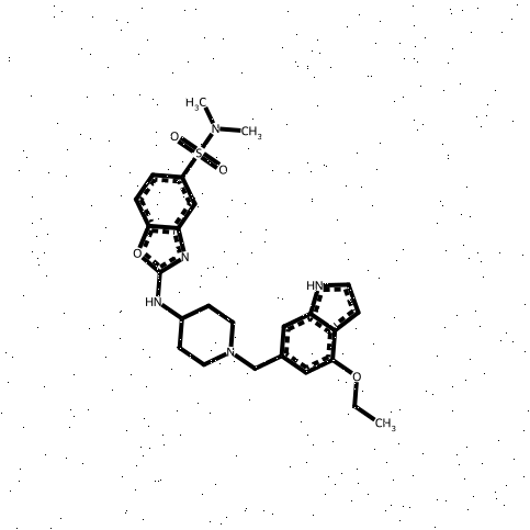 CCOc1cc(CN2CCC(Nc3nc4cc(S(=O)(=O)N(C)C)ccc4o3)CC2)cc2[nH]ccc12